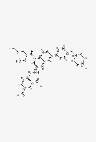 CCCCC(CO)Nc1nc(NCc2ccc(OC)cc2OC)nc2cc(-c3cnc(CN4CCN(C)CC4)nc3)cnc12